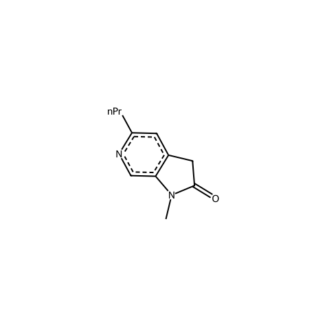 CCCc1cc2c(cn1)N(C)C(=O)C2